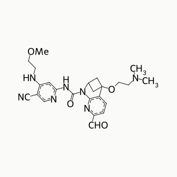 COCCNc1cc(NC(=O)N2c3nc(C=O)ccc3C3(OCCN(C)C)CC2C3)ncc1C#N